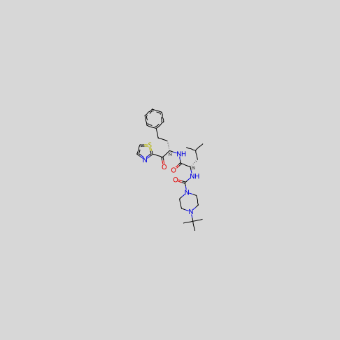 CC(C)C[C@H](NC(=O)N1CCN(C(C)(C)C)CC1)C(=O)N[C@@H](CCc1ccccc1)C(=O)c1nccs1